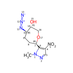 Cn1ncc([N+](=O)[O-])c1[C@H]1CC[C@@H](N=[N+]=[N-])[C@H](O)CO1